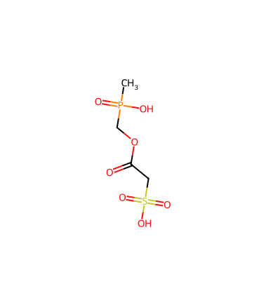 CP(=O)(O)COC(=O)CS(=O)(=O)O